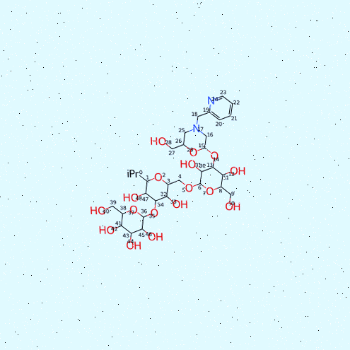 CC(C)C1OC(COC2OC(CO)C(O)C(OC3CN(Cc4ccccn4)CC(CO)O3)C2O)C(O)C(OC2OC(CO)C(O)C(O)C2O)C1O